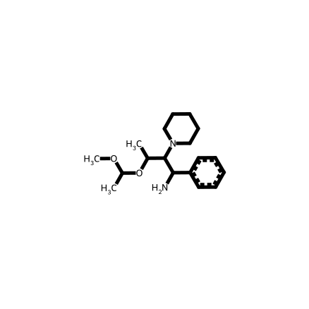 COC(C)OC(C)C(C(N)c1ccccc1)N1CCCCC1